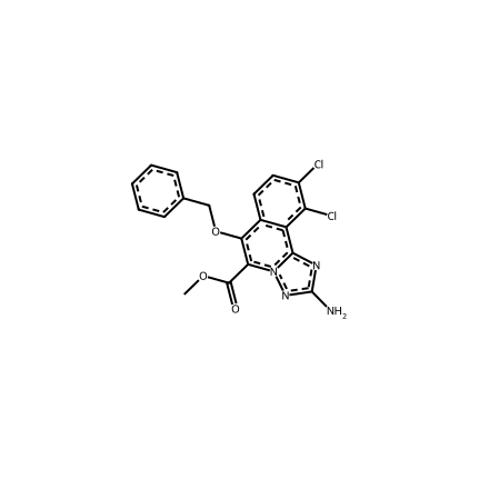 COC(=O)c1c(OCc2ccccc2)c2ccc(Cl)c(Cl)c2c2nc(N)nn12